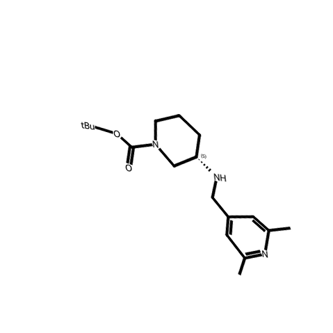 Cc1cc(CN[C@H]2CCCN(C(=O)OC(C)(C)C)C2)cc(C)n1